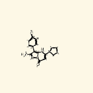 Cc1nn2c(=O)cc(C3CCCC3)[nH]c2c1-c1ccc(Cl)cc1